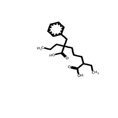 CCCC(CCCC(CC)C(=O)O)(Cc1ccccc1)C(=O)O